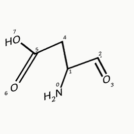 NC([C]=O)CC(=O)O